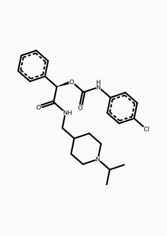 CC(C)N1CCC(CNC(=O)[C@H](OC(=O)Nc2ccc(Cl)cc2)c2ccccc2)CC1